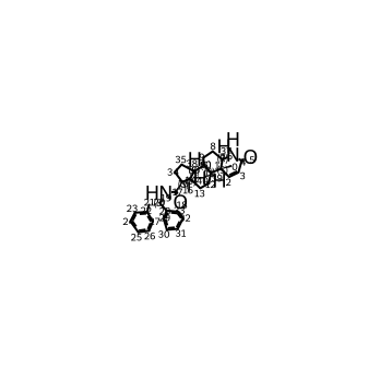 C[C@]12C=CC(=O)N[C@@H]1CC[C@@H]1[C@@H]2CC[C@]2(C)[C@@H](C(=O)N[C@@H](Cc3ccccc3)c3ccccc3)CC[C@@H]12